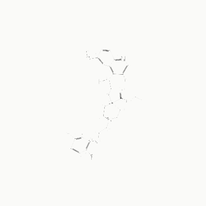 CCOC(=O)C1(CC[C@@H](F)c2c(Cl)cnc3ccc(OC)cc23)CCN(CCOc2cc(F)ccc2F)CC1